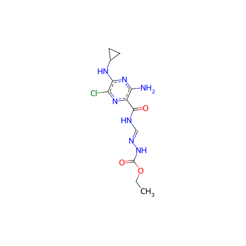 CCOC(=O)NN=CNC(=O)c1nc(Cl)c(NC2CC2)nc1N